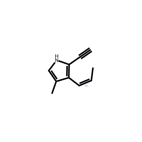 C#Cc1[nH]cc(C)c1/C=C\C